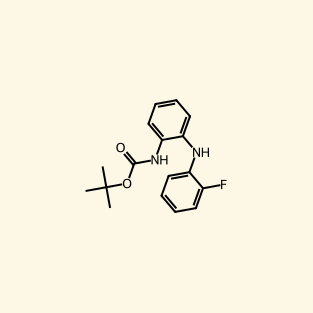 CC(C)(C)OC(=O)Nc1ccccc1Nc1ccccc1F